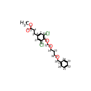 COC(=O)CCc1cc(Cl)c(OCOCCCOCc2ccccc2)c(Cl)c1